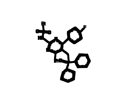 CCS(=O)(=O)Nc1nc(-c2ccc(F)cc2)c(CP(=O)(c2ccccc2)c2ccccc2)c(C(C)C)n1